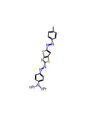 CCCN(CCC)c1ccc(N=Nc2nc3sc(N=Nc4ccc(C)cc4)cc3s2)cc1